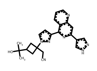 CC(C)(O)C1CC(CC#N)(n2ccc(-c3nc(-c4cn[nH]c4)cc4ncccc34)n2)C1